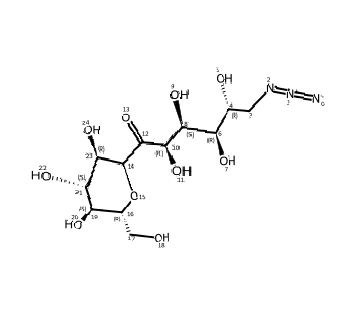 [N-]=[N+]=NC[C@@H](O)[C@@H](O)[C@H](O)[C@@H](O)C(=O)C1O[C@H](CO)[C@@H](O)[C@H](O)[C@H]1O